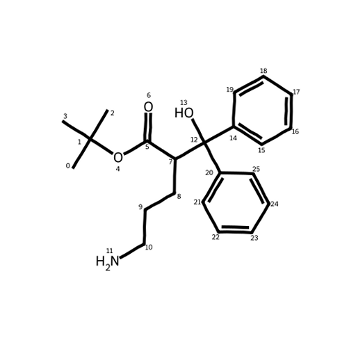 CC(C)(C)OC(=O)C(CCCN)C(O)(c1ccccc1)c1ccccc1